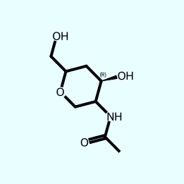 CC(=O)NC1COC(CO)C[C@H]1O